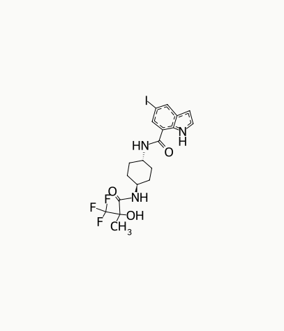 CC(O)(C(=O)N[C@H]1CC[C@H](NC(=O)c2cc(I)cc3cc[nH]c23)CC1)C(F)(F)F